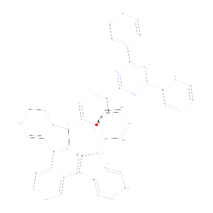 c1ccc(-c2nc(-c3ccccc3)nc(-c3ccc(C4c5ccccc5-c5c4c4c(c6ccccc56)c5ccccc5n4-c4ccccc4)cc3)n2)cc1